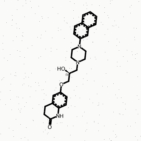 O=C1CCc2cc(OC[C@@H](O)CN3CCN(c4ccc5ccccc5c4)CC3)ccc2N1